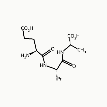 CC(C)[C@H](NC(=O)[C@@H](N)CCC(=O)O)C(=O)N[C@@H](C)C(=O)O